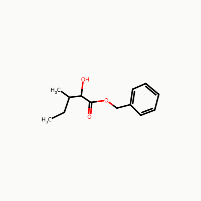 CCC(C)C(O)C(=O)OCc1ccccc1